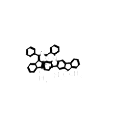 CC1(C)c2ccccc2-c2cc3c(cc21)c1ccccc1n3-c1ccccc1-c1nc(-c2ccccc2)c2c(n1)C(C)(C)c1ccccc1-2